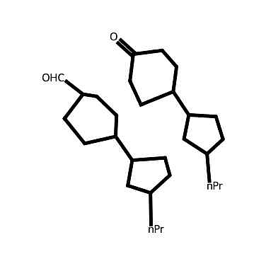 CCCC1CCC(C2CCC(=O)CC2)C1.CCCC1CCC(C2CCC(C=O)CC2)C1